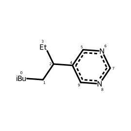 CCC(C)CC(CC)c1cncnc1